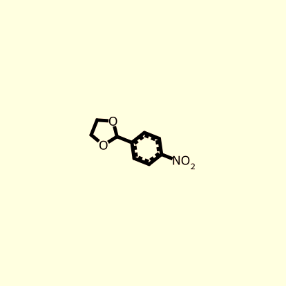 O=[N+]([O-])c1ccc(C2OCCO2)cc1